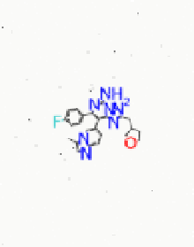 Cc1cnc2ccc(-c3c(-c4ccc(F)cc4)nc(N)n4nc(CC5CCOC5)nc34)cn12